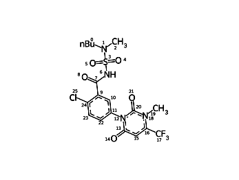 CCCCN(C)S(=O)(=O)NC(=O)c1cc(-n2c(=O)cc(C(F)(F)F)n(C)c2=O)ccc1Cl